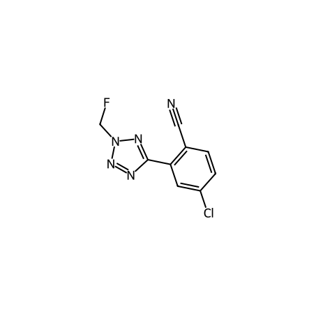 N#Cc1ccc(Cl)cc1-c1nnn(CF)n1